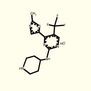 Cc1ncc(-c2nc(NC3CCNCC3)ncc2C(F)(F)F)s1.Cl